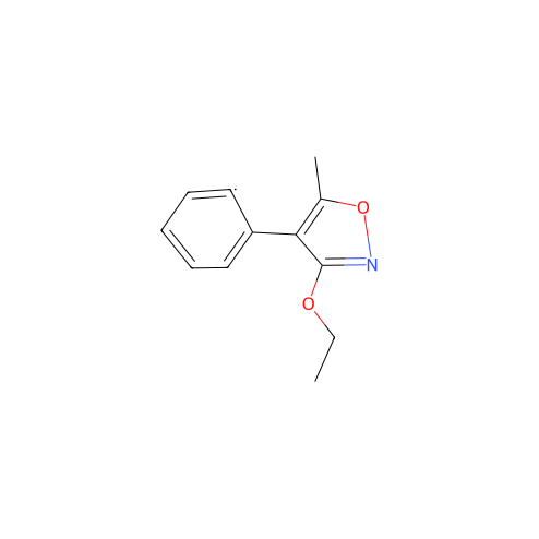 CCOc1noc(C)c1-c1[c]cccc1